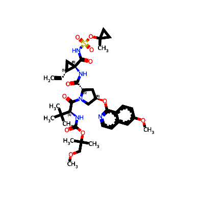 C=C[C@@H]1C[C@]1(NC(=O)[C@@H]1C[C@@H](Oc2nccc3cc(OC)ccc23)CN1C(=O)[C@@H](NC(=O)OC(C)(C)COC)C(C)(C)C)C(=O)NS(=O)(=O)OC1(C)CC1